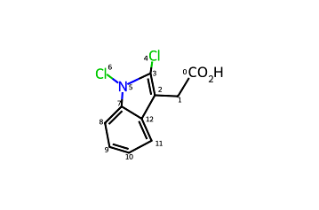 O=C(O)Cc1c(Cl)n(Cl)c2ccccc12